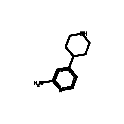 Nc1cc(C2CCNCC2)ccn1